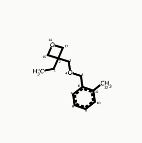 CCC1(COCc2ccccc2C)COC1